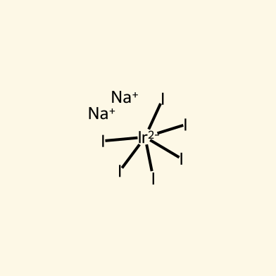 [I][Ir-2]([I])([I])([I])([I])[I].[Na+].[Na+]